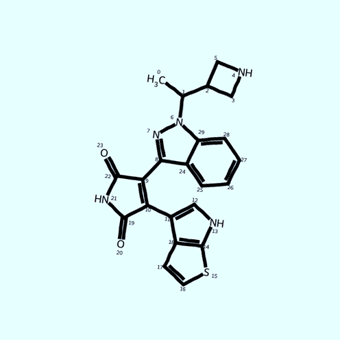 CC(C1CNC1)n1nc(C2=C(c3c[nH]c4sccc34)C(=O)NC2=O)c2ccccc21